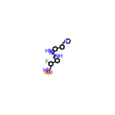 CS(=O)(=O)NCc1cc(F)cc(-c2cccc3[nH]c(-c4n[nH]c5ccc(-c6cccc(CN7CCCCC7)c6)cc45)cc23)c1